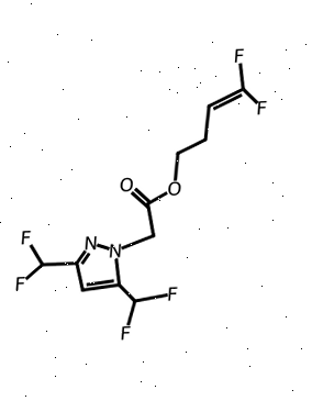 O=C(Cn1nc(C(F)F)cc1C(F)F)OCCC=C(F)F